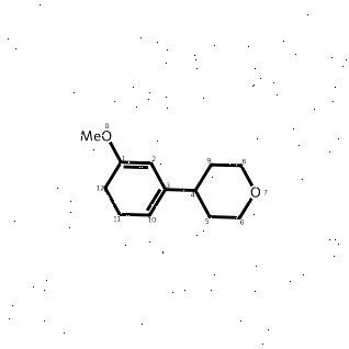 COC1=CC(C2CCOCC2)=CC[CH]1